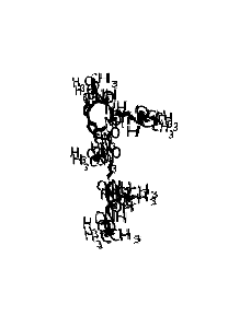 Cc1ccc2cc1C[C@@H](C(=O)NC[C@H](NC(=O)OC(C)(C)C)C(=O)NCCCC[C@H](NC(=O)OC(C)(C)C)C(=O)NCC(O)CNC(=O)OC(C)(C)C)NC(=O)[C@H](CCCNC(=O)OC(C)(C)C)NC(=O)[C@@H](NC(=O)OC(C)(C)C)Cc1cc-2ccc1O